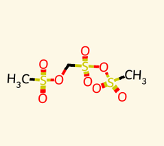 CS(=O)(=O)OCS(=O)(=O)OS(C)(=O)=O